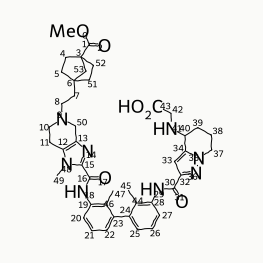 COC(=O)C12CCC(CCN3CCc4c(nc(C(=O)Nc5cccc(-c6cccc(NC(=O)c7cc8n(n7)CCCC8NCC(=O)O)c6C)c5C)n4C)C3)(CC1)C2